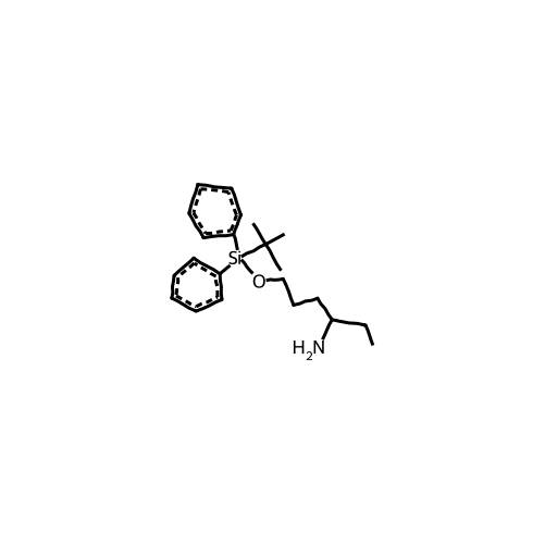 CCC(N)CCCO[Si](c1ccccc1)(c1ccccc1)C(C)(C)C